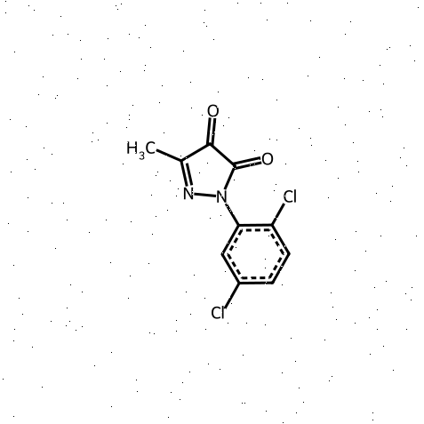 CC1=NN(c2cc(Cl)ccc2Cl)C(=O)C1=O